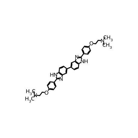 CN(C)CCOc1ccc(-c2nc3cc(-c4ccc5[nH]c(-c6ccc(OCCN(C)C)cc6)nc5c4)ccc3[nH]2)cc1